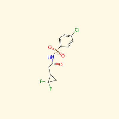 O=C(CC1CC1(F)F)NS(=O)(=O)c1ccc(Cl)cc1